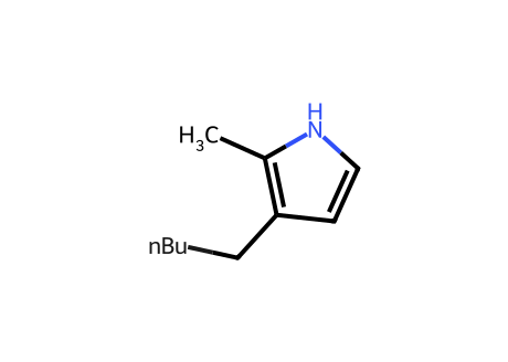 CCCCCc1cc[nH]c1C